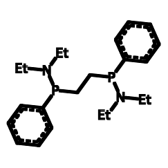 CCN(CC)P(CCP(c1ccccc1)N(CC)CC)c1ccccc1